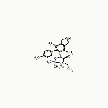 CCOC(=O)C(OC(C)(C)C)c1c(C)c2c(c(C)c1-c1ccc(C)cc1)CNC2